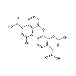 O=C(O)Oc1cccc(Oc2cccc(OC(=O)O)c2OC(=O)O)c1OC(=O)O